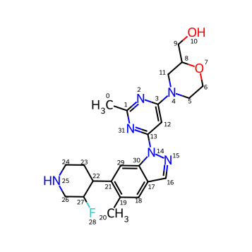 Cc1nc(N2CCOC(CO)C2)cc(-n2ncc3cc(C)c(C4CCNCC4F)cc32)n1